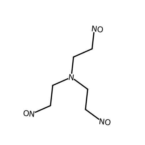 O=NCCN(CCN=O)CCN=O